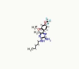 CCCCCNc1nc(C)c(-c2ccc(OC(F)(F)F)cc2OC)nc1N